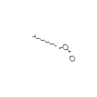 CC(C)CCCCCCCCCOC(=O)C1CCCC(C(=O)OC2CCCCC2)C1